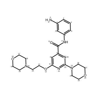 Nc1cccc(NC(=O)c2cc(OCCN3CCOCC3)nc(N3CCOCC3)n2)c1